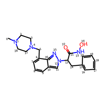 CN1CCN(Cc2cccc3cn(C(Cc4ccccc4)C(=O)NO)nc23)CC1